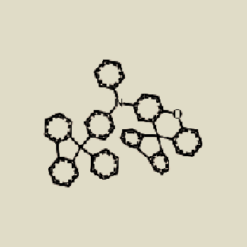 c1ccc(N(c2ccc(C3(c4ccccc4)c4ccccc4-c4ccccc43)cc2)c2ccc3c(c2)C2(c4ccccc4O3)c3ccccc3-c3ccccc32)cc1